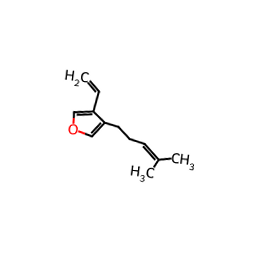 C=Cc1cocc1CCC=C(C)C